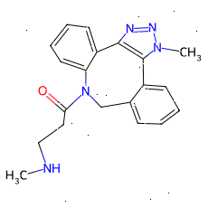 CNCCC(=O)N1Cc2ccccc2-c2c(nnn2C)-c2ccccc21